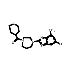 Cc1cc(Cl)cc2sc(N3CCCN(C(=O)C4CCOCC4)CC3)nc12